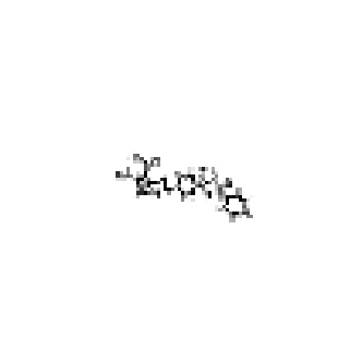 N=C(Cl)c1c(Br)c[nH]c1/N=C/c1ccc(S(=O)(=O)N(F)S(=O)(=O)c2ccccc2)cc1